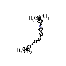 CN(C)c1ccc(/C=C/c2ccc(-c3ccc(-c4ccc(-c5ccc(/C=C/c6ccc(N(C)C)cc6)cc5)s4)s3)cc2)cc1